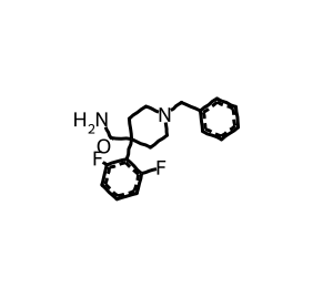 NC(=O)C1(c2c(F)cccc2F)CCN(Cc2ccccc2)CC1